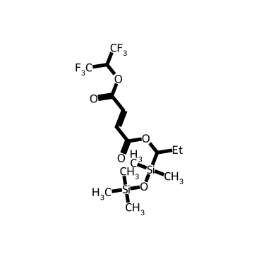 CCC(OC(=O)/C=C/C(=O)OC(C(F)(F)F)C(F)(F)F)[Si](C)(C)O[Si](C)(C)C